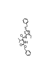 CCn1nc(SCc2ccccc2)sc1=NC(=O)[C@@H](NC(=O)OCc1ccccc1)C(C)C